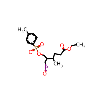 CCOC(=O)CCC(C)C(COS(=O)(=O)c1ccc(C)cc1)CP=O